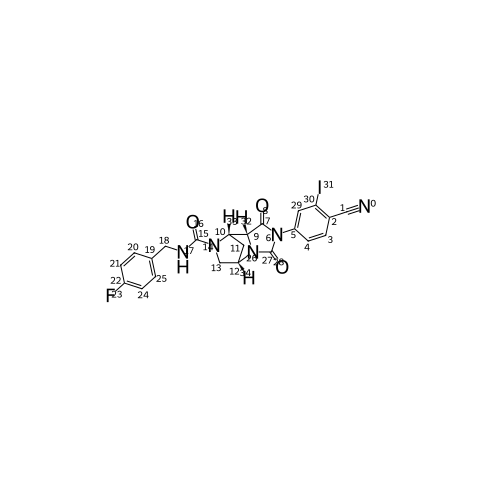 N#Cc1ccc(N2C(=O)[C@H]3[C@@H]4C[C@@H](CN4C(=O)NCc4ccc(F)cc4)N3C2=O)cc1I